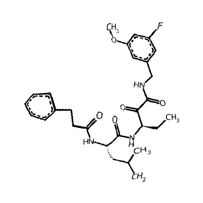 CC[C@@H](NC(=O)[C@H](CC(C)C)NC(=O)CCc1ccccc1)C(=O)C(=O)NCc1cc(F)cc(OC)c1